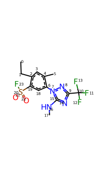 CCc1cc(C)c(-n2nc(C(F)(F)F)nc2NC)cc1S(=O)(=O)F